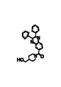 O=C(c1ccc2nc(-c3ccccc3)c(-c3ccccc3)nc2c1)N1CCC(CO)CC1